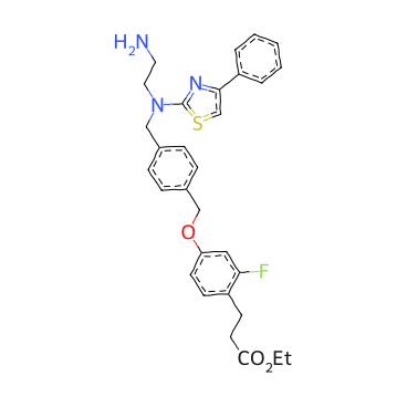 CCOC(=O)CCc1ccc(OCc2ccc(CN(CCN)c3nc(-c4ccccc4)cs3)cc2)cc1F